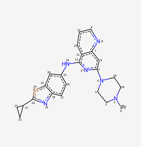 CC(C)N1CCN(c2cc3ncccc3c(Nc3ccc4nc(C5CC5)sc4c3)n2)CC1